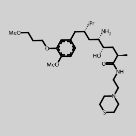 COCCCOc1cc(C[C@@H](C[C@H](N)[C@@H](O)C[C@@H](C)C(=O)NCCN2CCSCC2)C(C)C)ccc1OC